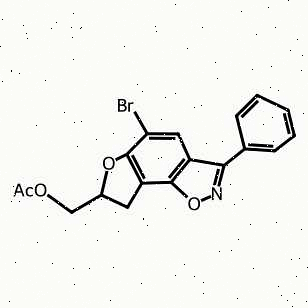 CC(=O)OCC1Cc2c(c(Br)cc3c(-c4ccccc4)noc23)O1